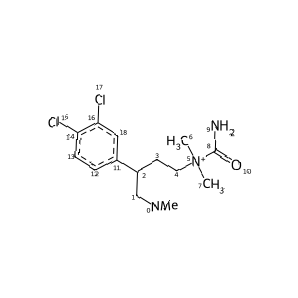 CNCC(CC[N+](C)(C)C(N)=O)c1ccc(Cl)c(Cl)c1